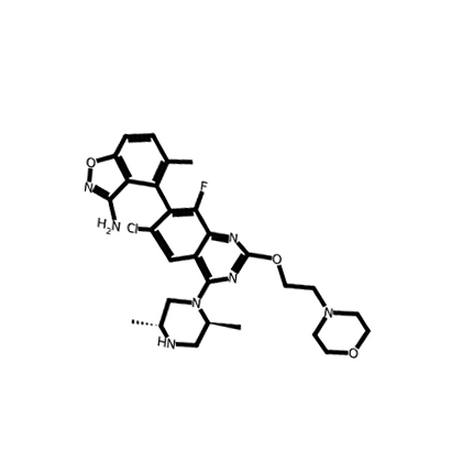 Cc1ccc2onc(N)c2c1-c1c(Cl)cc2c(N3C[C@@H](C)NC[C@@H]3C)nc(OCCN3CCOCC3)nc2c1F